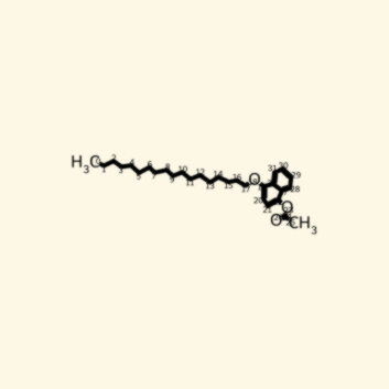 CCCCCCCCCCCCCCCCCCOc1ccc(OC(C)=O)c2ccccc12